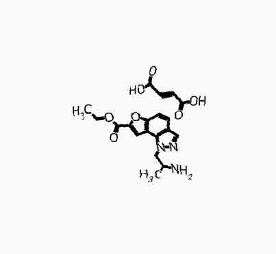 CCOC(=O)c1cc2c(ccc3cnn(C[C@H](C)N)c32)o1.O=C(O)C=CC(=O)O